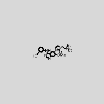 C#Cc1cccc(Nc2ncnc3cc(OC)c(-n4ccn(CCN(CC)CC)c4=O)cc23)c1